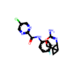 NC1=N[C@@]2(c3cc(NC(=O)c4ncc(Cl)cn4)ccc3F)C3CC32CO1